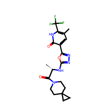 Cc1cc(-c2nnc(N[C@@H](C)C(=O)N3CCC4(CC3)CC4)o2)c(=O)[nH]c1C(F)(F)F